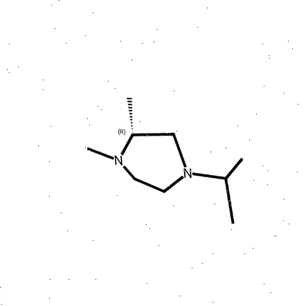 CC(C)N1CCN(C)[C@H](C)C1